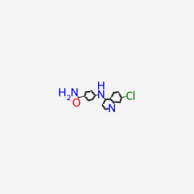 NC(=O)c1ccc(Nc2ccnc3cc(Cl)ccc23)cc1